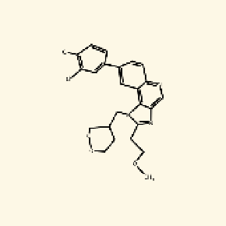 COCCc1nc2cnc3ccc(-c4ccc(Cl)c(Cl)c4)cc3c2n1CC1CCOCC1